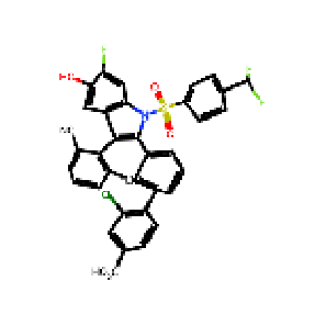 N#Cc1cccc(C#N)c1-c1c(-c2cccc(-c3ccc(C(=O)O)cc3Cl)c2)n(S(=O)(=O)c2ccc(C(F)F)cc2)c2cc(F)c(O)cc12